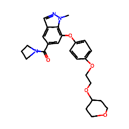 Cn1ncc2cc(C(=O)N3CCC3)cc(Oc3ccc(OCCOC4CCOCC4)cc3)c21